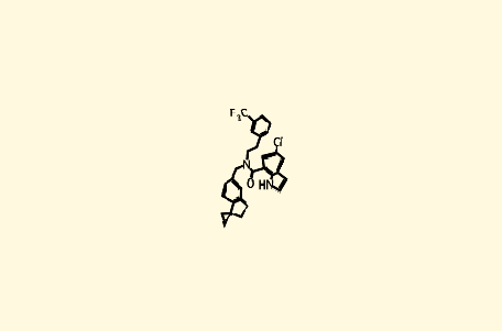 O=C(c1cc(Cl)cc2cc[nH]c12)N(CCc1cccc(C(F)(F)F)c1)Cc1ccc2c(c1)CCC21CC1